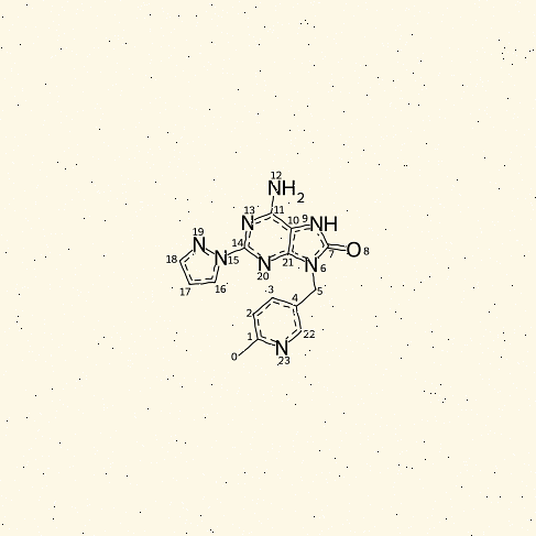 Cc1ccc(Cn2c(=O)[nH]c3c(N)nc(-n4cccn4)nc32)cn1